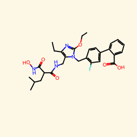 CCOc1nc(CC)c(CNC(=O)C(CC(C)C)C(=O)NO)n1Cc1ccc(-c2ccccc2C(=O)O)cc1F